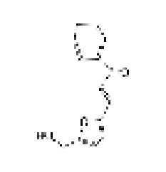 O=C(C=Cc1ccc(CO)o1)c1ccccc1